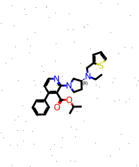 CCN(Cc1cccs1)[C@@H]1CCN(c2nccc(-c3ccccc3)c2C(=O)OC(C)C)C1